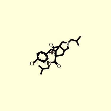 CC(C)CNC(=O)C12CC3CN(CC(C)C)C(C3C(=O)N1)C2Cc1ccc(Cl)cc1